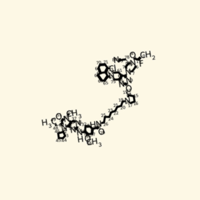 C=C(F)C(=O)N1CCN(c2nc(OC[C@@H]3CCCN3CCCCCCCCNC(=O)c3ccc(Nc4ncc5c(n4)N(C4CCCC4)[C@H](CC)C(=O)N5C)c(OC)c3)nc3c2CCN(c2cccc4cccc(Cl)c24)C3)C[C@@H]1CC#N